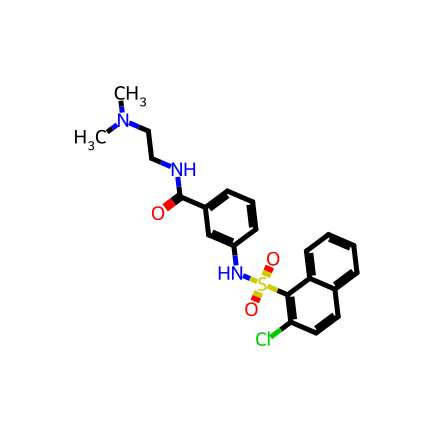 CN(C)CCNC(=O)c1cccc(NS(=O)(=O)c2c(Cl)ccc3ccccc23)c1